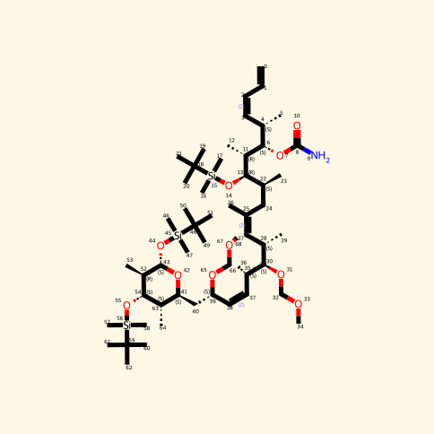 C=C/C=C\[C@H](C)[C@H](OC(N)=O)[C@@H](C)[C@H](O[Si](C)(C)C(C)(C)C)[C@@H](C)C/C(C)=C\[C@H](C)[C@@H](OCOC)[C@@H](C)/C=C\[C@H](C[C@@H]1O[C@@H](O[Si](C)(C)C(C)(C)C)[C@H](C)[C@@H](O[Si](C)(C)C(C)(C)C)[C@H]1C)OCOC